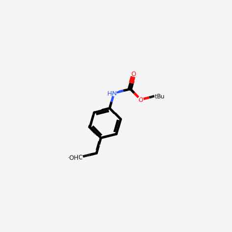 CC(C)(C)OC(=O)Nc1ccc(C[C]=O)cc1